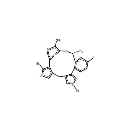 CCn1nc2c(n1)-c1ccc(F)cc1[C@@H](C)Oc1cc(cnc1N)-c1c(cnn1CC)C2